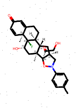 Cc1ccc(N2C[C@@H]3C[C@H]4[C@@H]5CCC6=CC(=O)C=C[C@]6(C)[C@@]5(F)[C@@H](O)C[C@]4(C)[C@]3(C(=O)CO)O2)cc1